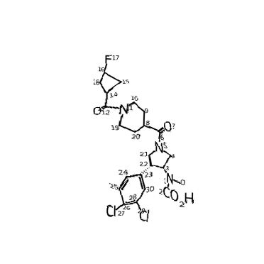 CN(C(=O)O)[C@@H]1CN(C(=O)C2CCN(C(=O)C3CC(F)C3)CC2)C[C@H]1c1ccc(Cl)c(Cl)c1